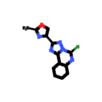 Cc1nc(-c2nc3c4ccccc4nc(Cl)n3n2)co1